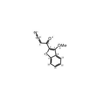 COc1c(C(=O)C=[N+]=[N-])sc2ccccc12